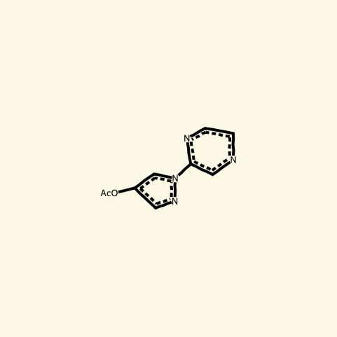 CC(=O)Oc1cnn(-c2cnccn2)c1